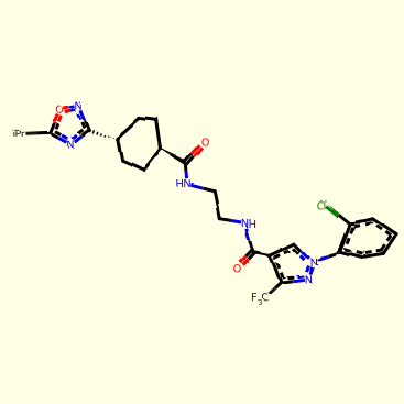 CC(C)c1nc([C@H]2CC[C@H](C(=O)NCCNC(=O)c3cn(-c4ccccc4Cl)nc3C(F)(F)F)CC2)no1